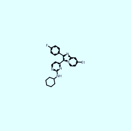 CCc1ccn2c(-c3ccnc(NC4CCCCC4)n3)c(-c3ccc(F)cc3)nc2c1